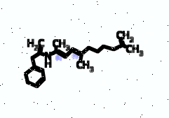 C=C(C)CCCC/C(C)=C/C=C(\C)NC(=C)CC1=CC=CCC1